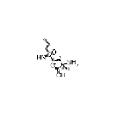 CCCS(=N)(=O)CCC(C)(N)C(=O)O